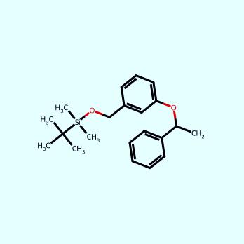 [CH2]C(Oc1cccc(CO[Si](C)(C)C(C)(C)C)c1)c1ccccc1